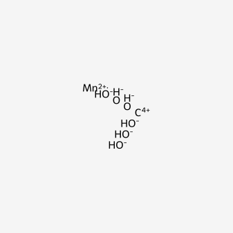 [C+4].[Mn+2].[OH-].[OH-].[OH-].[OH-].[OH-].[OH-]